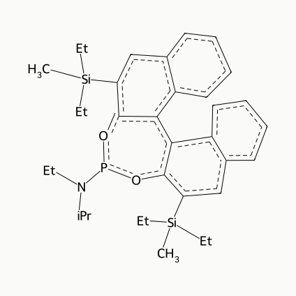 CCN(C(C)C)p1oc2c([Si](C)(CC)CC)cc3ccccc3c2c2c(o1)c([Si](C)(CC)CC)cc1ccccc12